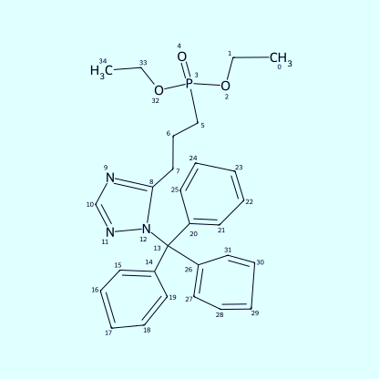 CCOP(=O)(CCCc1ncnn1C(c1ccccc1)(c1ccccc1)c1ccccc1)OCC